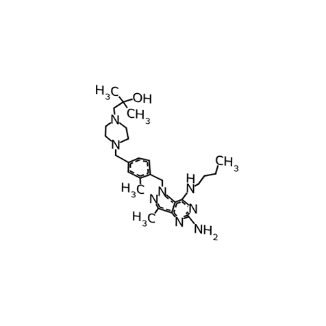 CCCCNc1nc(N)nc2c(C)nn(Cc3ccc(CN4CCN(CC(C)(C)O)CC4)cc3C)c12